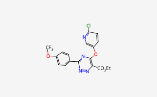 CCOC(=O)c1nnc(-c2ccc(OC(F)(F)F)cc2)nc1Oc1ccc(Cl)nc1